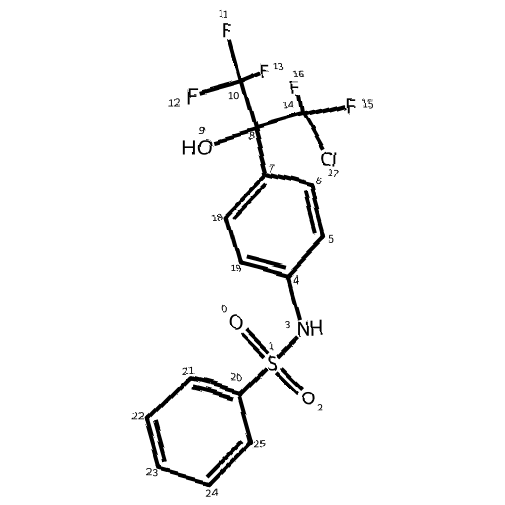 O=S(=O)(Nc1ccc(C(O)(C(F)(F)F)C(F)(F)Cl)cc1)c1ccccc1